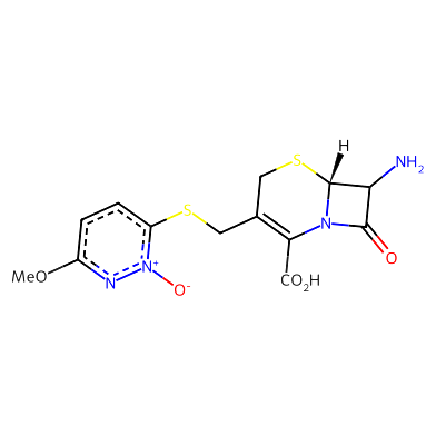 COc1ccc(SCC2=C(C(=O)O)N3C(=O)C(N)[C@H]3SC2)[n+]([O-])n1